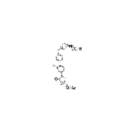 CC(=O)NC[C@H]1CN(c2ccc(-c3ccc(CN4CC[C@@H](NC(=O)O)C4)cc3)c(F)c2)C(=O)O1